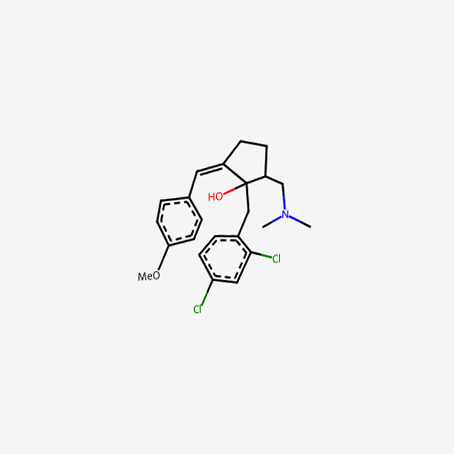 COc1ccc(C=C2CCC(CN(C)C)C2(O)Cc2ccc(Cl)cc2Cl)cc1